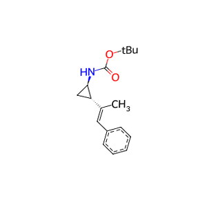 C/C(=C\c1ccccc1)[C@@H]1C[C@H]1NC(=O)OC(C)(C)C